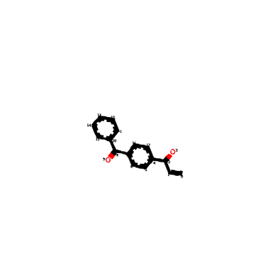 C=CC(=O)c1ccc(C(=O)c2ccccc2)cc1